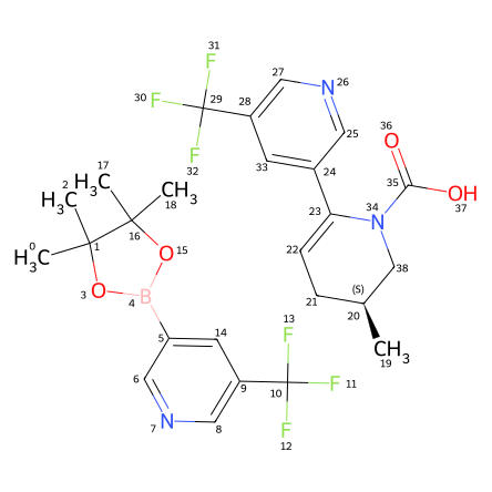 CC1(C)OB(c2cncc(C(F)(F)F)c2)OC1(C)C.C[C@H]1CC=C(c2cncc(C(F)(F)F)c2)N(C(=O)O)C1